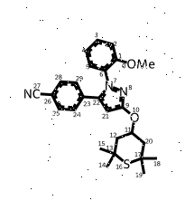 COc1ccccc1-n1nc(OC2CC(C)(C)SC(C)(C)C2)cc1-c1ccc(C#N)cc1